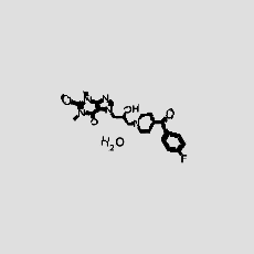 Cn1c(=O)c2c(ncn2CC(O)CN2CCC(C(=O)c3ccc(F)cc3)CC2)n(C)c1=O.O